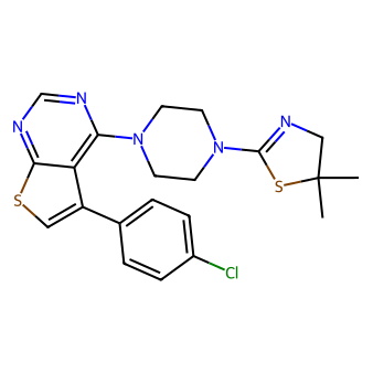 CC1(C)CN=C(N2CCN(c3ncnc4scc(-c5ccc(Cl)cc5)c34)CC2)S1